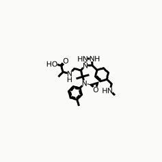 CNCC1C=CC(C2NNN2C(CNC(C)C(=O)O)C(C)(C)N(c2cccc(C)c2)[C@@H]2CO2)CC1